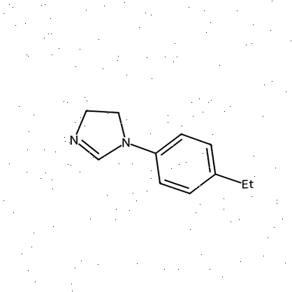 CCc1ccc(N2C=NCC2)cc1